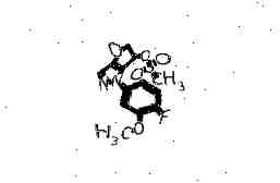 COc1cc(-n2ncc3c2C(OS(C)(=O)=O)CO3)ccc1F